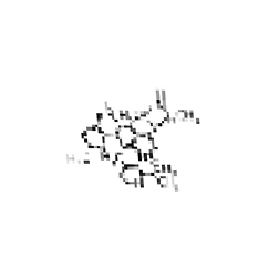 Cc1ccc(F)c(-c2cc3c(cc2C#N)c(N2C[C@@H](C)NC[C@@H]2C)nc(=O)n3-c2c(C)ccnc2C(C)C)c1